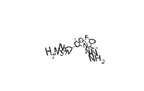 Cc1cc(-c2cnc3sc(N)nc3c2)cc2c1OCCN(c1nc(N)nc(C)c1-c1cccc(F)c1)C2